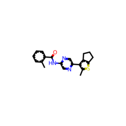 Cc1ccccc1C(=O)Nc1cnc(-c2c(C)sc3c2CCC3)cn1